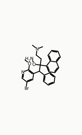 COc1ncc(Br)cc1C(c1ccccc1)C(CCN(C)C)(ON)c1cccc2ccccc12